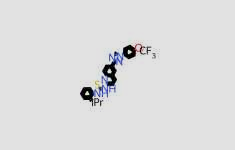 CC(C)c1ccccc1NC(=S)Nc1ccc2cc(-c3ncn(-c4ccc(OC(F)(F)F)cc4)n3)ccc2n1